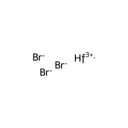 [Br-].[Br-].[Br-].[Hf+3]